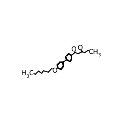 CCCCCCCOc1ccc(-c2ccc(C(=O)CC(=O)CCC)cc2)cc1